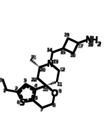 CCc1cc2c(s1)CCO[C@@]21CCN(CC2CC(N)C2)[C@@H](C)C1